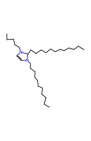 CCCCCCCCCCCCC1N(CCCCC)C=CN1CCCCCCCCCCC